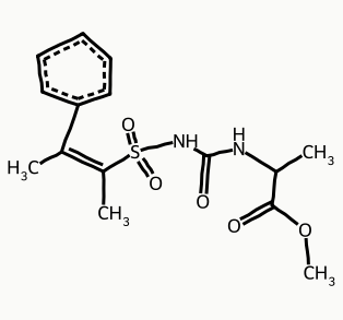 COC(=O)C(C)NC(=O)NS(=O)(=O)C(C)=C(C)c1ccccc1